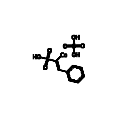 O=S(=O)(O)O.O=S(=O)(O)[C]([Co])=Cc1ccccc1